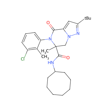 Cc1c(Cl)cccc1N1C(=O)c2cc(C(C)(C)C)nn2CC1(C)C(=O)NC1CCCCCCC1